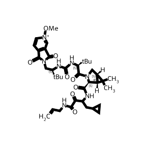 C=CCNC(=O)C(=O)C(CC1CC1)NC(=O)[C@@H]1[C@@H]2[C@H](CN1C(=O)[C@@H](NC(=O)N[C@H](CN1C(=O)c3cc[n+](OC)cc3C1=O)C(C)(C)C)C(C)(C)C)C2(C)C